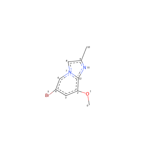 COc1cc(Br)cn2cc(C)nc12